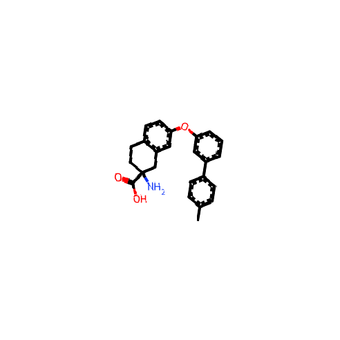 Cc1ccc(-c2cccc(Oc3ccc4c(c3)CC(N)(C(=O)O)CC4)c2)cc1